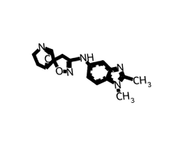 Cc1nc2cc(NC3=NOC4(C3)CN3CCC4CC3)ccc2n1C